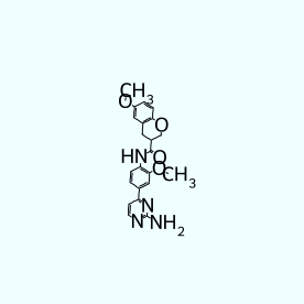 COc1ccc2c(c1)CC(C(=O)Nc1ccc(-c3ccnc(N)n3)cc1OC)CO2